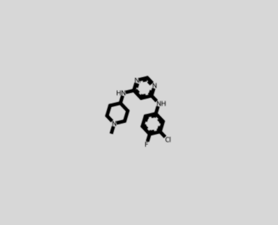 CN1CCC(Nc2cc(Nc3ccc(F)c(Cl)c3)ncn2)CC1